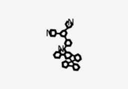 c1cc(-c2cc(-c3ccncc3)cc(-c3ccncc3)c2)cc(-c2nc3ccccc3c3cc4c(cc23)-c2ccccc2C42c3ccccc3-c3ccccc32)c1